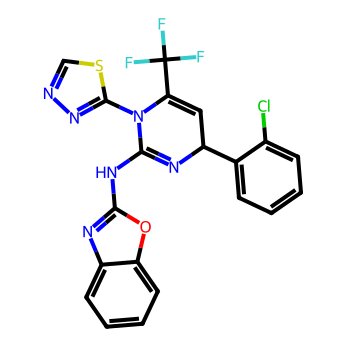 FC(F)(F)C1=CC(c2ccccc2Cl)N=C(Nc2nc3ccccc3o2)N1c1nncs1